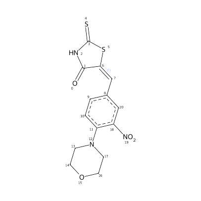 O=C1NC(=S)S/C1=C/c1ccc(N2CCOCC2)c([N+](=O)[O-])c1